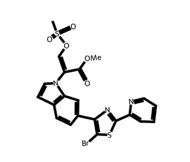 COC(=O)/C(=C\OS(C)(=O)=O)n1ccc2ccc(-c3nc(-c4ccccn4)sc3Br)cc21